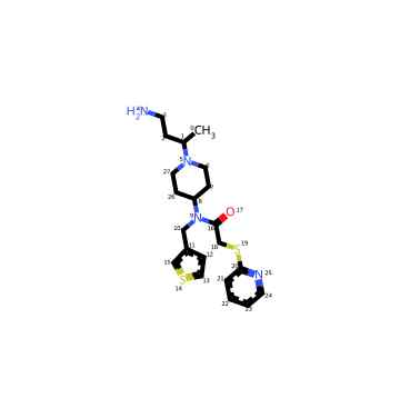 CC(CCN)N1CCC(N(Cc2ccsc2)C(=O)CSc2ccccn2)CC1